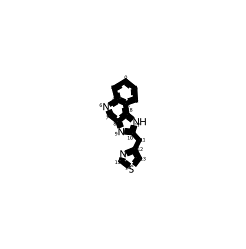 c1ccc2c(c1)ncc1nc(Cc3cscn3)[nH]c12